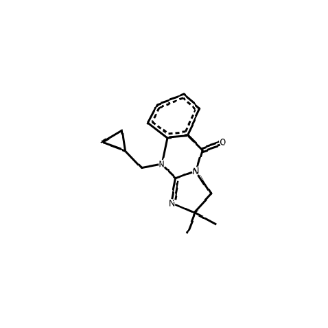 CC1(C)CN2C(=O)c3ccccc3N(CC3CC3)C2=N1